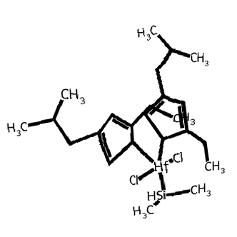 CCC1=CC(CC(C)C)=C[CH]1[Hf]([Cl])([Cl])([CH]1C=C(CC(C)C)C=C1CC)[SiH](C)C